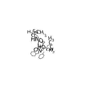 CC(C)C[C@H](O)[C@H](O)[C@H](CC1CCCCC1)N(CC1CCCCC1)C(=O)[C@@H](CC(=O)NCC(=O)N(C)C)CC1CC1